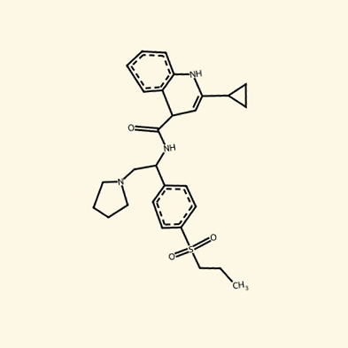 CCCS(=O)(=O)c1ccc(C(CN2CCCC2)NC(=O)C2C=C(C3CC3)Nc3ccccc32)cc1